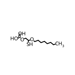 CCCCCCCCOC(S)COP(O)O